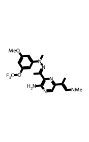 CN/C=C(\C)c1cnc(N)c(/C(C)=N/N(C)c2cc(OC)cc(OC(F)(F)F)c2)n1